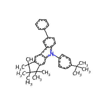 CC(C)(C)c1ccc(-n2c3ccc(-c4ccccc4)cc3c3cc4c(cc32)C(C)(C)C(C)(C)C4(C)C)cc1